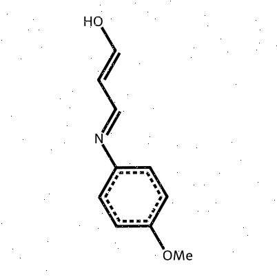 COc1ccc(/N=C/C=C/O)cc1